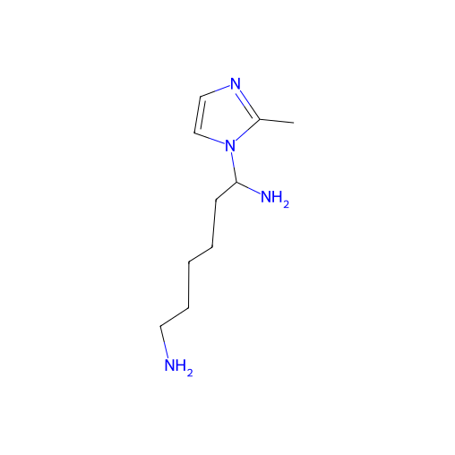 Cc1nccn1C(N)CCCCCN